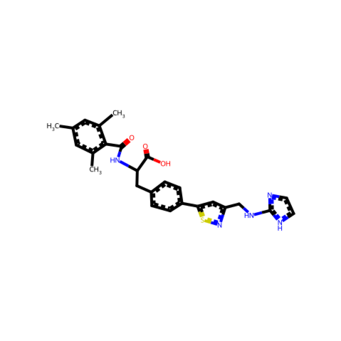 Cc1cc(C)c(C(=O)NC(Cc2ccc(-c3cc(CNc4ncc[nH]4)ns3)cc2)C(=O)O)c(C)c1